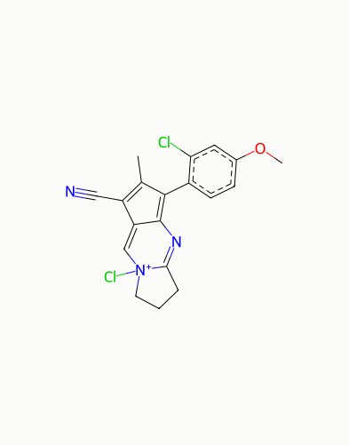 COc1ccc(C2=C3N=C4CCC[N+]4(Cl)C=C3C(C#N)=C2C)c(Cl)c1